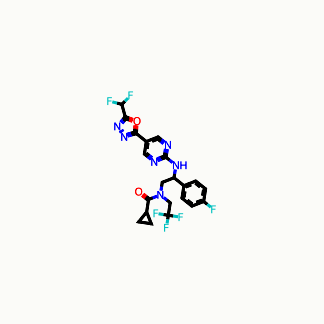 O=C(C1CC1)N(CC(Nc1ncc(-c2nnc(C(F)F)o2)cn1)c1ccc(F)cc1)CC(F)(F)F